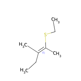 CCS/C(C)=C(\C)CC